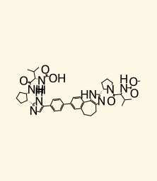 COC(=O)N[C@H](C(=O)N1CCC[C@H]1c1nc2c([nH]1)-c1ccc(-c3ccc(-c4cnc([C@@H]5CCC[C@@H]5NC(=O)[C@@H](NC(=O)O)C(C)C)[nH]4)cc3)cc1CCC2)C(C)C